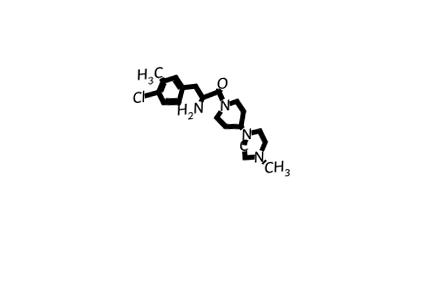 Cc1cc(CC(N)C(=O)N2CCC(N3CCN(C)CC3)CC2)ccc1Cl